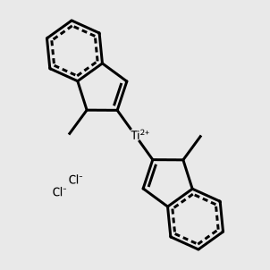 CC1[C]([Ti+2][C]2=Cc3ccccc3C2C)=Cc2ccccc21.[Cl-].[Cl-]